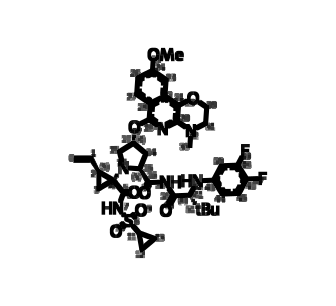 C=C[C@@H]1C[C@@]1(C(=O)NS(=O)(=O)C1CC1)N1C[C@H](Oc2nc3c(c4cc(OC)ccc24)OCCN3C)C[C@H]1C(=O)NC(=O)[C@H](Nc1ccc(F)c(F)c1)C(C)(C)C